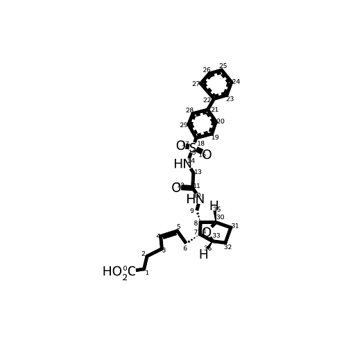 O=C(O)CCC/C=C\C[C@@H]1[C@H](CNC(=O)CNS(=O)(=O)c2ccc(-c3ccccc3)cc2)[C@@H]2CC[C@H]1O2